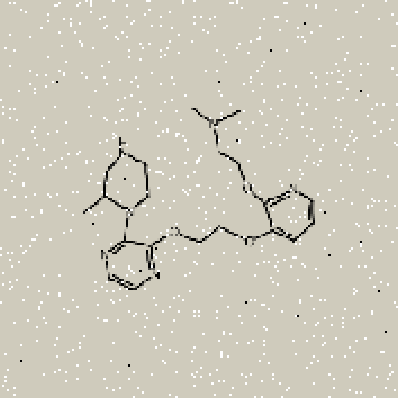 CC1CNCCN1c1nccnc1OCCOc1cccnc1OCCN(C)C